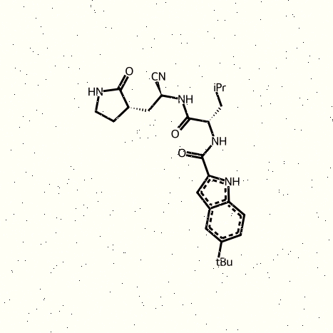 CC(C)C[C@H](NC(=O)c1cc2cc(C(C)(C)C)ccc2[nH]1)C(=O)N[C@H](C#N)C[C@@H]1CCNC1=O